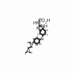 CN(C)CCN(C)c1ccc(Sc2ccc3[nH]c(NC(=O)O)nc3c2)cc1